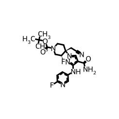 CC(C)(C)OC(=O)N1CC[C@](CC#N)(n2cc(C(N)=O)c(Nc3ccc(F)nc3)n2)[C@H](F)C1